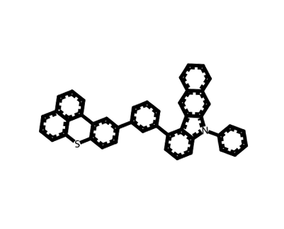 c1ccc(-n2c3cc4ccccc4cc3c3c(-c4cccc(-c5ccc6c(c5)-c5cccc7cccc(c57)S6)c4)cccc32)cc1